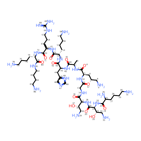 CC(NC(=O)[C@@H](CCCN)NC(=O)CNC(=O)C(NC(=O)[C@@H](NC(=O)C(N)CCCCN)[C@@H](O)CN)[C@@H](O)CN)C(=O)NC(Cc1cnc[nH]1)C(=O)N[C@@H](CCCCN)C(=O)N/C(=C\CCNC(=N)N)C(=O)N[C@@H](CCCCN)C(=O)NCCCCN